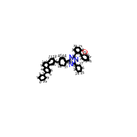 c1ccc(-c2ccc3c(ccc4ccc(-c5ccc(-c6nc(-c7ccccc7)nc(-c7cccc8oc9ccccc9c78)n6)cc5)cc43)c2)cc1